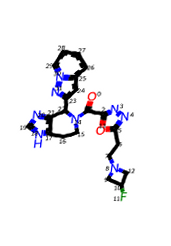 O=C(c1nnc(CCN2CC(F)C2)o1)N1CCc2[nH]cnc2C1c1cc2ccccn2n1